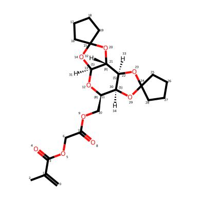 C=C(C)C(=O)OCC(=O)OC[C@H]1O[C@H]2OC3(CCCC3)O[C@@H]2[C@H]2OC3(CCCC3)O[C@H]21